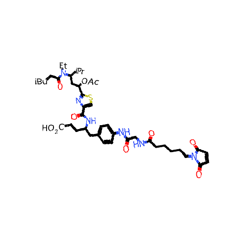 CCC(C)CC(=O)N(CC)C(CC(OC(C)=O)c1nc(C(=O)NC(CCC(=O)O)Cc2ccc(NC(=O)CNC(=O)CCCCCN3C(=O)C=CC3=O)cc2)cs1)C(C)C